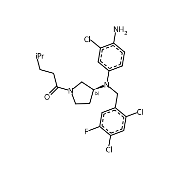 CC(C)CCC(=O)N1CC[C@H](N(Cc2cc(F)c(Cl)cc2Cl)c2ccc(N)c(Cl)c2)C1